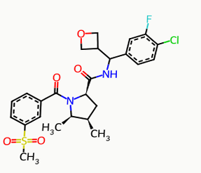 C[C@@H]1C[C@H](C(=O)NC(c2ccc(Cl)c(F)c2)C2COC2)N(C(=O)c2cccc(S(C)(=O)=O)c2)[C@@H]1C